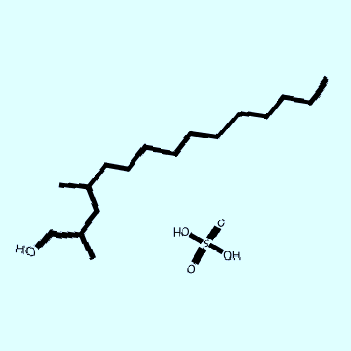 CCCCCCCCCCCC(C)CC(C)CO.O=S(=O)(O)O